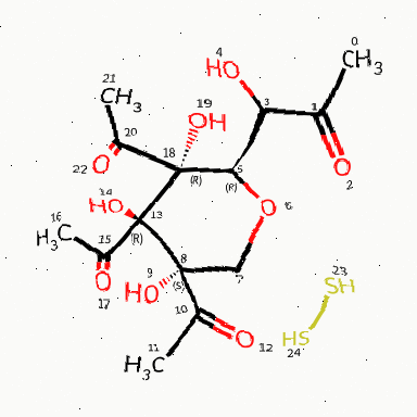 CC(=O)C(O)[C@H]1O[CH][C@@](O)(C(C)=O)[C@](O)(C(C)=O)[C@@]1(O)C(C)=O.SS